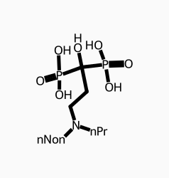 CCCCCCCCCN(CCC)CCC(O)(P(=O)(O)O)P(=O)(O)O